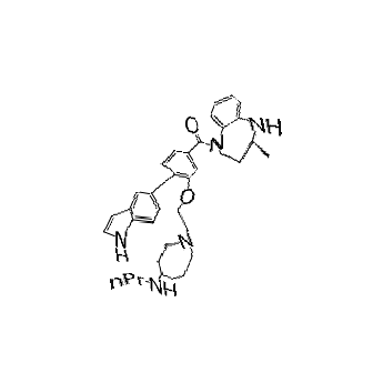 CCCNC1CCN(CCOc2cc(C(=O)N3CC[C@H](C)Nc4ccccc43)ccc2-c2ccc3[nH]ccc3c2)CC1